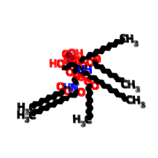 CCCCCCCCCCC[C@H](CC(=O)NCCO[C@@H]1OC(CO)[C@@H](OP(=O)(O)O)[C@H](OC(=O)C[C@@H](CCCCCCCCCCC)OC(=O)CCCCCCCCC)C1NC(=O)C[C@@H](CCCCCCCCCCC)OC(=O)CCCCCCCCC)OC(=O)CCCCCCCCC